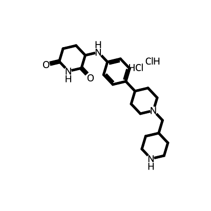 Cl.Cl.O=C1CCC(Nc2ccc(C3CCN(CC4CCNCC4)CC3)cc2)C(=O)N1